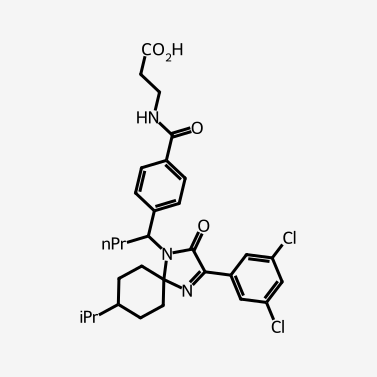 CCCC(c1ccc(C(=O)NCCC(=O)O)cc1)N1C(=O)C(c2cc(Cl)cc(Cl)c2)=NC12CCC(C(C)C)CC2